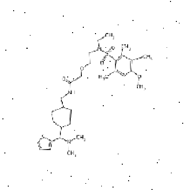 CCN(CCOCC(=O)NCC1CCC(C(c2cccs2)N(C)C)CC1)S(=O)(=O)c1c(C)cc(OC)c(C)c1C